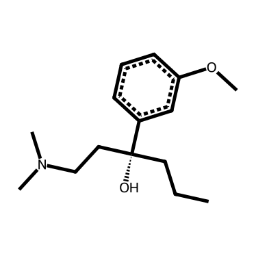 CCC[C@@](O)(CCN(C)C)c1cccc(OC)c1